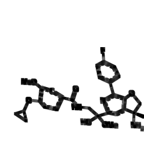 COc1cc(C(=O)NCC(O)(OC)c2cc3c(c(-c4ccc(F)cc4)n2)OC[C@@]3(N)C(F)(F)F)ccc1OC1CC1